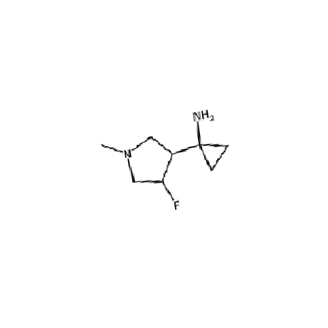 CN1CC(F)C(C2(N)CC2)C1